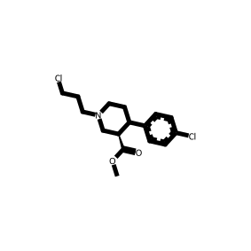 COC(=O)[C@H]1CN(CCCCl)CCC1c1ccc(Cl)cc1